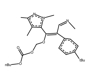 CCCCOC(=O)OCO/C(=C(/C=N\C)c1ccc(C(C)(C)C)cc1)c1c(C)c(C)nn1C